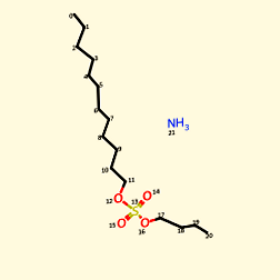 CCCCCCCCCCCCOS(=O)(=O)OCCCC.N